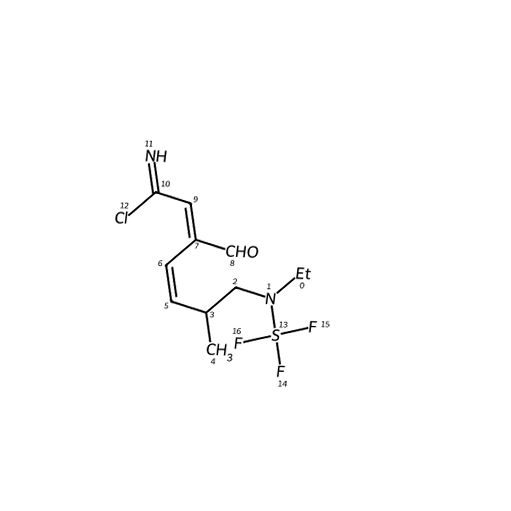 CCN(CC(C)/C=C\C(C=O)=C/C(=N)Cl)S(F)(F)F